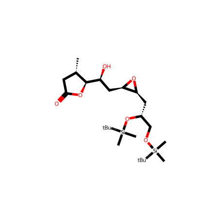 C[C@H]1CC(=O)O[C@@H]1[C@@H](O)C[C@H]1O[C@H]1C[C@H](CO[Si](C)(C)C(C)(C)C)O[Si](C)(C)C(C)(C)C